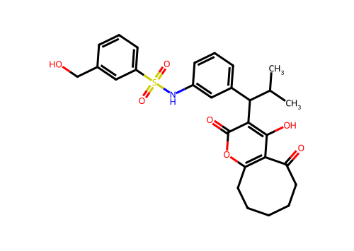 CC(C)C(c1cccc(NS(=O)(=O)c2cccc(CO)c2)c1)c1c(O)c2c(oc1=O)CCCCCC2=O